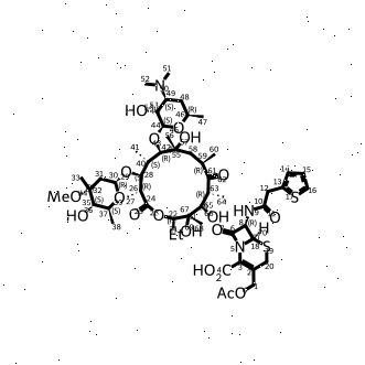 CC(=O)OCC1=C(C(=O)O)N2C(=O)[C@@H](NC(=O)Cc3cccs3)[C@H]2SC1.CC[C@H]1OC(=O)[C@H](C)[C@@H](O[C@H]2C[C@@](C)(OC)[C@@H](O)[C@H](C)O2)[C@H](C)[C@@H](O[C@@H]2O[C@H](C)C[C@H](N(C)C)[C@H]2O)[C@](C)(O)C[C@@H](C)C(=O)[C@H](C)[C@@H](O)[C@]1(C)O